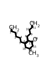 C=CCCCCC1=C(CCCC=C)C(=O)C[C@H](C)C1